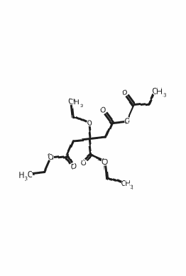 CCOC(=O)CC(CC(=O)OC(=O)CC)(OCC)C(=O)OCC